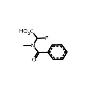 CN(C(=O)c1ccccc1)C(F)C(=O)O